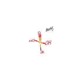 O=P(O)(O)O.[BeH2]